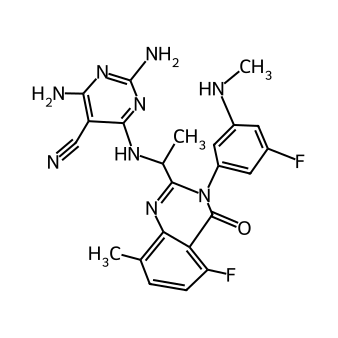 CNc1cc(F)cc(-n2c(C(C)Nc3nc(N)nc(N)c3C#N)nc3c(C)ccc(F)c3c2=O)c1